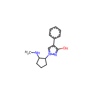 CNC1CCCC1n1cc(-c2ccccc2)c(O)n1